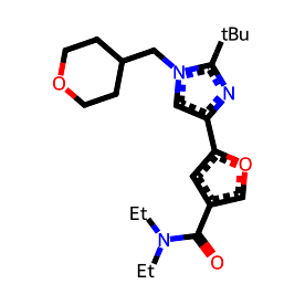 CCN(CC)C(=O)c1coc(-c2cn(CC3CCOCC3)c(C(C)(C)C)n2)c1